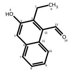 CCc1c(O)cc2ccccc2c1C=O